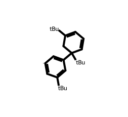 CC(C)(C)C1=CC=CC(c2c[c]cc(C(C)(C)C)c2)(C(C)(C)C)C1